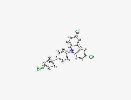 Clc1ccc2c(c1)c1cc(Cl)ccc1n2-c1ccc(-c2ccc(Br)cc2)cc1